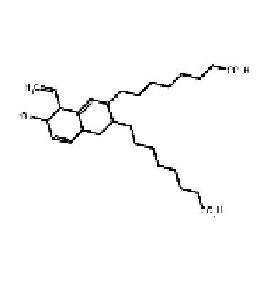 C=CC1C2=CC(CCCCCCCC(=O)O)C(CCCCCCCC(=O)O)CC2C=CC1CCCC